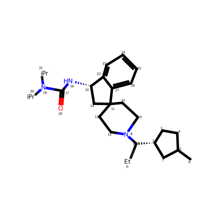 CCC([C@@H]1CCC(C)C1)N1CCC2(CC1)C[C@H](NC(=O)N(C(C)C)C(C)C)c1ccccc12